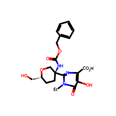 CCn1c([C@]2(NC(=O)OCc3ccccc3)CC[C@H](CO)OC2)nc(C(=O)O)c(O)c1=O